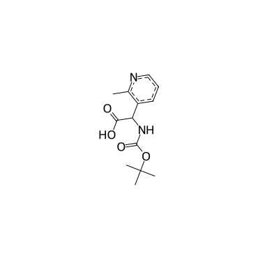 Cc1ncccc1C(NC(=O)OC(C)(C)C)C(=O)O